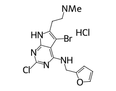 CNCCc1[nH]c2nc(Cl)nc(NCc3ccco3)c2c1Br.Cl